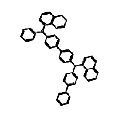 C1=Cc2c(cccc2N(c2ccccc2)c2ccc(-c3ccc(N(c4ccc(-c5ccccc5)cc4)c4cccc5ccccc45)cc3)cc2)CC1